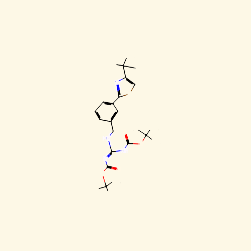 CC(C)(C)OC(=O)/N=C(/NCc1cccc(-c2nc(C(C)(C)C)cs2)c1)NC(=O)OC(C)(C)C